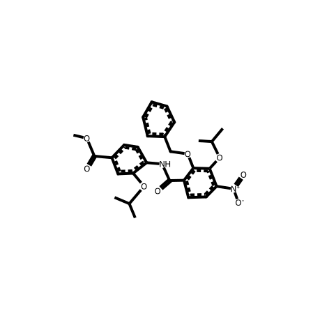 COC(=O)c1ccc(NC(=O)c2ccc([N+](=O)[O-])c(OC(C)C)c2OCc2ccccc2)c(OC(C)C)c1